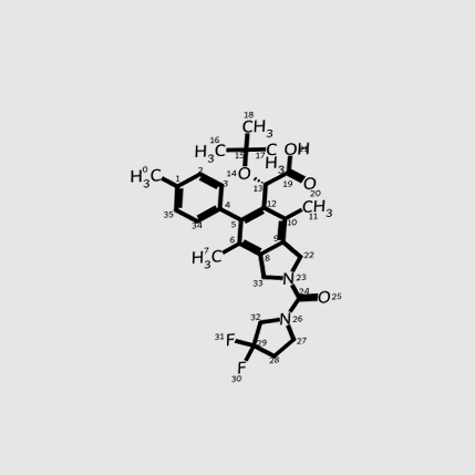 Cc1ccc(-c2c(C)c3c(c(C)c2[C@H](OC(C)(C)C)C(=O)O)CN(C(=O)N2CCC(F)(F)C2)C3)cc1